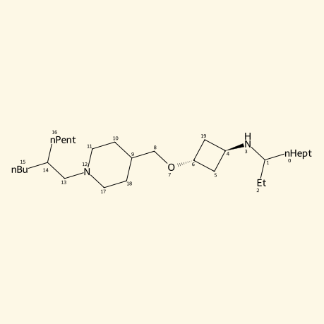 CCCCCCCC(CC)N[C@H]1C[C@H](OCC2CCN(CC(CCCC)CCCCC)CC2)C1